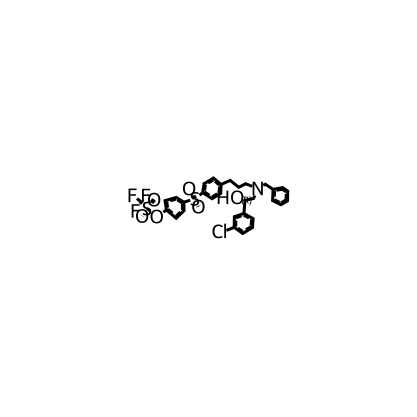 O=S(=O)(c1ccc(CCCN(Cc2ccccc2)C[C@H](O)c2cccc(Cl)c2)cc1)c1ccc(OS(=O)(=O)C(F)(F)F)cc1